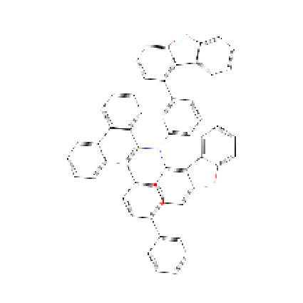 c1ccc(-c2ccc(-c3c(N(c4cccc(-c5cccc6oc7ccccc7c56)c4)c4cccc5oc6ccccc6c45)c4ccccc4c4ccccc34)cc2)cc1